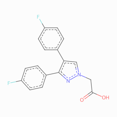 O=C(O)Cn1cc(-c2ccc(F)cc2)c(-c2ccc(F)cc2)n1